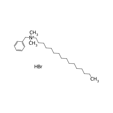 Br.CCCCCCCCCCCCCCCC[N+](C)(C)Cc1ccccc1